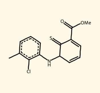 COC(=O)C1=CC=CC(Nc2cccc(C)c2Cl)C1=S